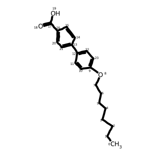 CCCCCCCCOc1ccc(-c2ccc(C(=O)O)cc2)cc1